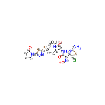 Nc1nc(/C(=N/O)C(=O)NC2C(=O)N3C(C(=O)O)=C(Sc4nnc(N5CCCC5=O)s4)CCC23)c(Cl)s1